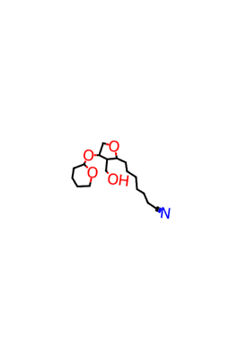 N#CCCCCCCC1OCC(OC2CCCCO2)C1CO